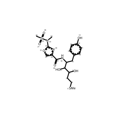 CSCCC(O)C(O)C(Cc1ccc(O)cc1)NC(=O)c1coc(N(C)S(C)(=O)=O)n1